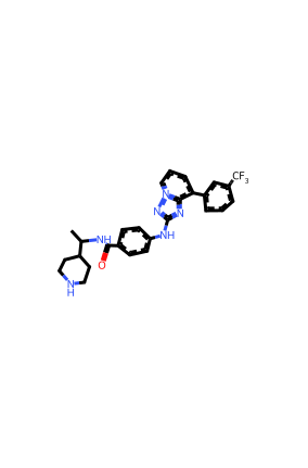 CC(NC(=O)c1ccc(Nc2nc3c(-c4cccc(C(F)(F)F)c4)cccn3n2)cc1)C1CCNCC1